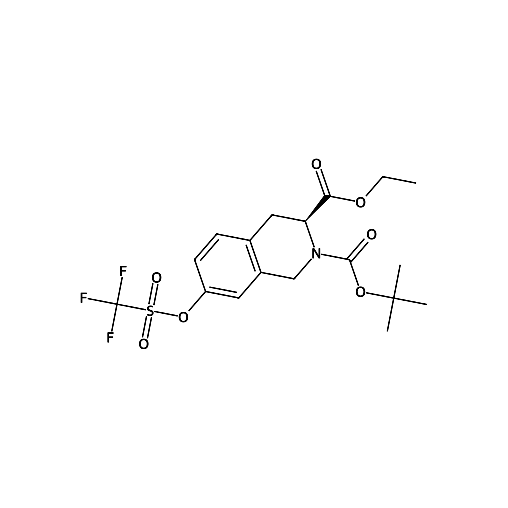 CCOC(=O)[C@@H]1Cc2ccc(OS(=O)(=O)C(F)(F)F)cc2CN1C(=O)OC(C)(C)C